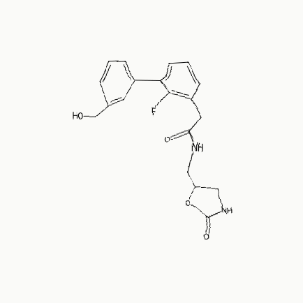 O=C(Cc1cccc(-c2cccc(CO)c2)c1F)NCC1CNC(=O)O1